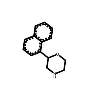 c1ccc2c(C3CNCCO3)cccc2c1